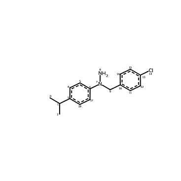 CC(C)c1ccc(N(N)Cc2ccc(Cl)cc2)cc1